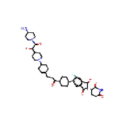 NC1CCN(C(=O)C(O)C2CCN(C3CC=C(CCC(=O)C4CCC(c5cc6c(cc5F)C(=O)[C@H](C5CCC(=O)NC5=O)C6=O)CC4)CC3)CC2)CC1